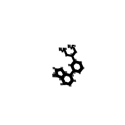 CCC(CN)c1cccc(-c2ccnc3[nH]ncc23)c1